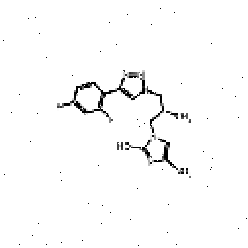 C[C@H](Cn1cc(-c2ccc(F)cc2F)nn1)Cn1cc([N+](=O)[O-])nc1O